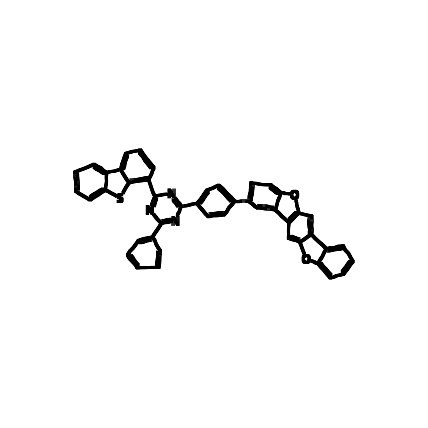 c1ccc(-c2nc(-c3ccc(-c4ccc5oc6cc7c(cc6c5c4)oc4ccccc47)cc3)nc(-c3cccc4c3sc3ccccc34)n2)cc1